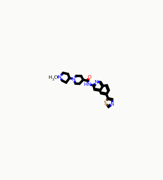 CN1CCC(N2CCC(C(=O)Nc3cc4cc(-c5cncs5)ccc4cn3)CC2)CC1